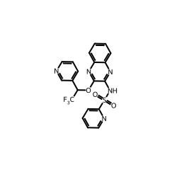 O=S(=O)(Nc1nc2ccccc2nc1OC(c1cccnc1)C(F)(F)F)c1ccccn1